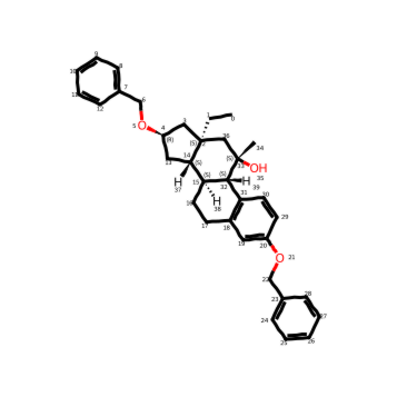 CC[C@@]12C[C@H](OCc3ccccc3)C[C@H]1[C@@H]1CCc3cc(OCc4ccccc4)ccc3[C@H]1[C@@](C)(O)C2